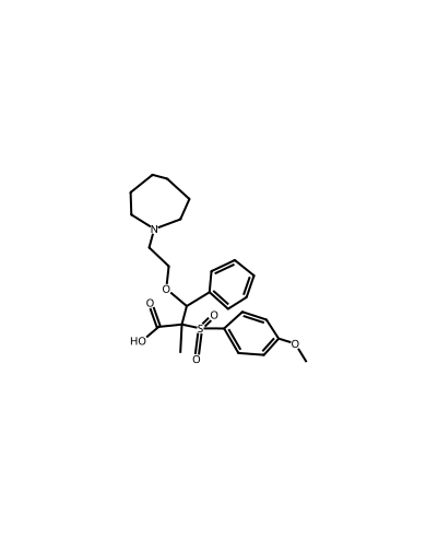 COc1ccc(S(=O)(=O)C(C)(C(=O)O)C(OCCN2CCCCCC2)c2ccccc2)cc1